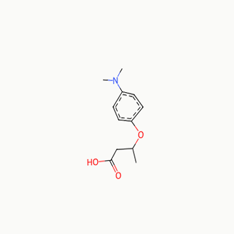 CC(CC(=O)O)Oc1ccc(N(C)C)cc1